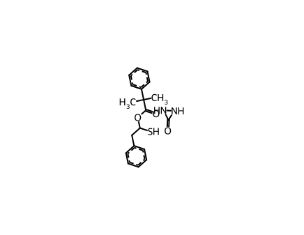 CC(C)(C(=O)OC(S)Cc1ccccc1)c1ccccc1.O=C1NN1